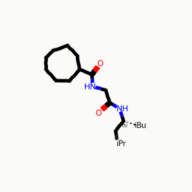 CCC(C)[C@H](CC(C)C)NC(=O)CNC(=O)C1CCCCCCC1